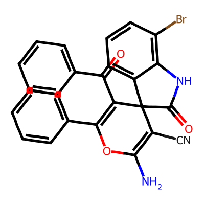 N#CC1=C(N)OC(c2ccccc2)=C(C(=O)c2ccccc2)C12C(=O)Nc1c(Br)cccc12